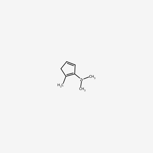 CC1=[C]([Zr]([CH3])[CH3])C=CC1